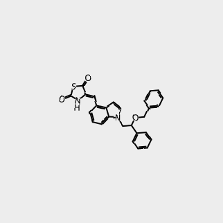 O=C1NC(=Cc2cccc3c2ccn3CC(OCc2ccccc2)c2ccccc2)C(=O)S1